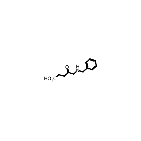 O=C(O)CCC(=O)CNCc1ccccc1